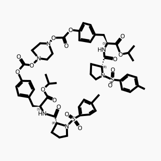 Cc1ccc(S(=O)(=O)N2CCC[C@@H]2C(=O)N[C@@H](Cc2ccc(OC(=O)ON3CCN(OC(=O)Oc4ccc(C[C@H](NC(=O)[C@H]5CCCN5S(=O)(=O)c5ccc(C)cc5)C(=O)OC(C)C)cc4)CC3)cc2)C(=O)OC(C)C)cc1